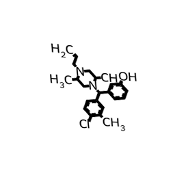 C=CCN1CC(C)N(C(c2cccc(O)c2)c2ccc(Cl)c(C)c2)CC1C